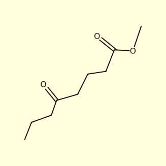 CCCC(=O)CCCC(=O)OC